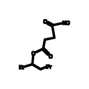 CCC(CC(C)C)OC(=O)CCC(=O)N=O